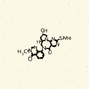 CSc1ncc2c(n1)N1C[C@@H](O)C[C@H]1CN(c1cccc3c(=O)n(C)cnc13)C2=O